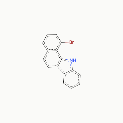 Brc1cccc2ccc3c4ccccc4[nH]c3c12